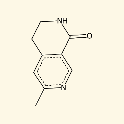 Cc1cc2c(cn1)C(=O)NCC2